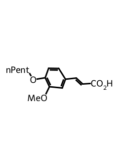 CCCCCOc1ccc(C=CC(=O)O)cc1OC